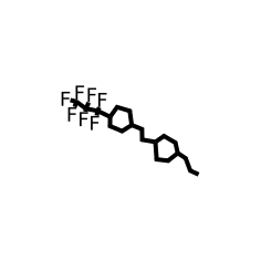 CCCC1CCC(CCC2CCC(C(F)(F)C(F)(F)C(F)(F)F)CC2)CC1